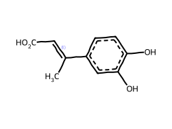 C/C(=C\C(=O)O)c1ccc(O)c(O)c1